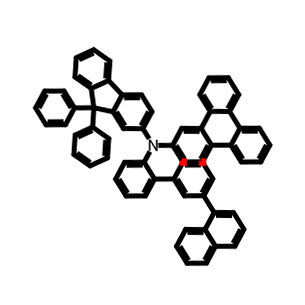 c1ccc(C2(c3ccccc3)c3ccccc3-c3ccc(N(c4ccc5c6ccccc6c6ccccc6c5c4)c4ccccc4-c4cccc(-c5cccc6ccccc56)c4)cc32)cc1